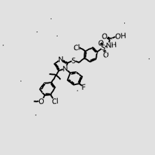 COc1ccc(C(C)(C)c2cnc(SCc3ccc(S(=O)(=O)NC(=O)O)cc3Cl)n2-c2ccc(F)cc2)cc1Cl